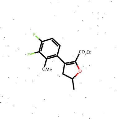 CCOC(=O)C1=C(c2ccc(F)c(F)c2OC)CC(C)O1